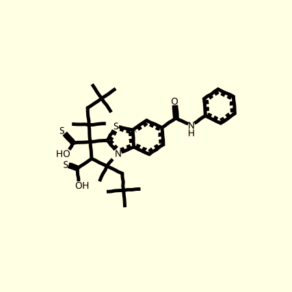 CC(C)(C)CC(C)(C)C(C(O)=S)C(C(O)=S)(c1nc2ccc(C(=O)Nc3ccccc3)cc2s1)C(C)(C)CC(C)(C)C